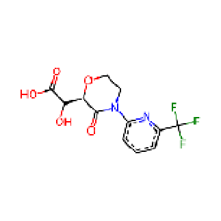 O=C(O)C(O)[C@H]1OCCN(c2cccc(C(F)(F)F)n2)C1=O